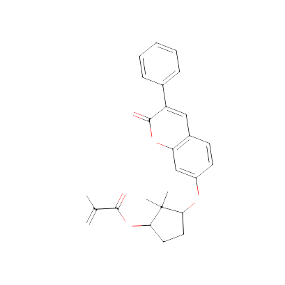 C=C(C)C(=O)OC1CCC(Oc2ccc3cc(-c4ccccc4)c(=O)oc3c2)C1(C)C